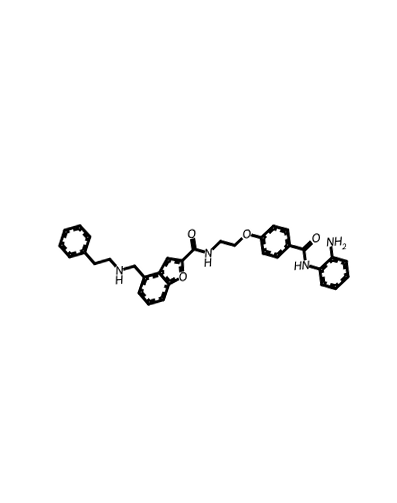 Nc1ccccc1NC(=O)c1ccc(OCCNC(=O)c2cc3c(CNCCc4ccccc4)cccc3o2)cc1